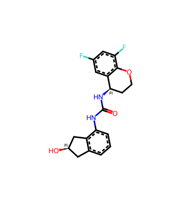 O=C(Nc1cccc2c1C[C@H](O)C2)N[C@@H]1CCOc2c(F)cc(F)cc21